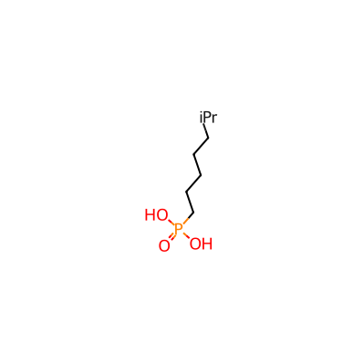 CC(C)CCCCCP(=O)(O)O